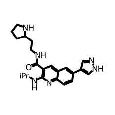 CC(C)Nc1nc2ccc(-c3cn[nH]c3)cc2cc1C(=O)NCCC1CCCN1